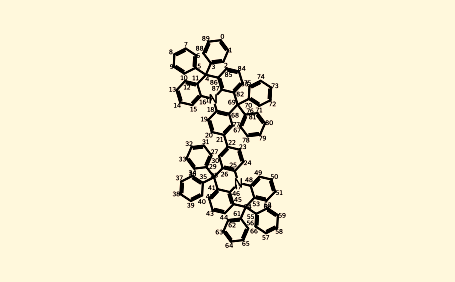 c1ccc(C2(c3ccccc3)c3ccccc3N3c4ccc(-c5ccc6c(c5)C(c5ccccc5)(c5ccccc5)c5cccc7c5N6c5ccccc5C7(c5ccccc5)c5ccccc5)cc4C(c4ccccc4)(c4ccccc4)c4cccc2c43)cc1